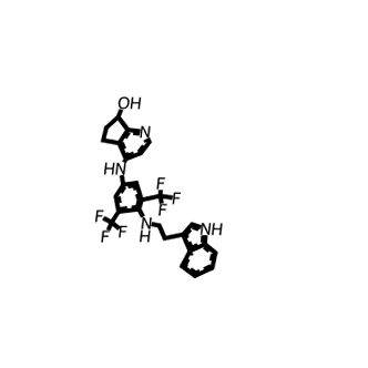 OC1CCc2c(Nc3cc(C(F)(F)F)c(NCCc4c[nH]c5ccccc45)c(C(F)(F)F)c3)ccnc21